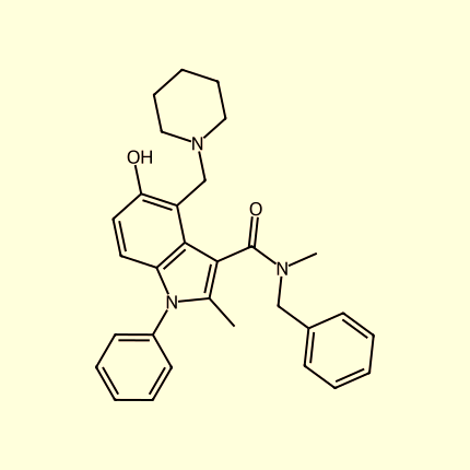 Cc1c(C(=O)N(C)Cc2ccccc2)c2c(CN3CCCCC3)c(O)ccc2n1-c1ccccc1